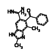 Cc1nc2c(C)c(C(=O)c3ccccc3)c(C(=N)N)cc2[nH]1